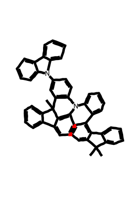 CC1(C)c2ccccc2-c2c(-c3ccccc3N3c4ccc(-n5c6ccccc6c6ccccc65)cc4C4(C)c5ccccc5-c5cccc3c54)cccc21